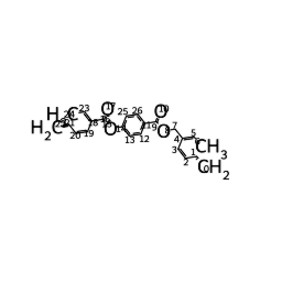 C=C/C=C\C(=C/C)COC(=O)c1ccc(OC(=O)C(/C=C\C=C)=C/C)cc1